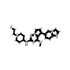 COc1nc(NC2CCN(CCF)CC2)nn2ccc(-c3ccc4nccn4c3)c12